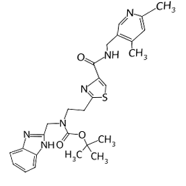 Cc1cc(C)c(CNC(=O)c2csc(CCN(Cc3nc4ccccc4[nH]3)C(=O)OC(C)(C)C)n2)cn1